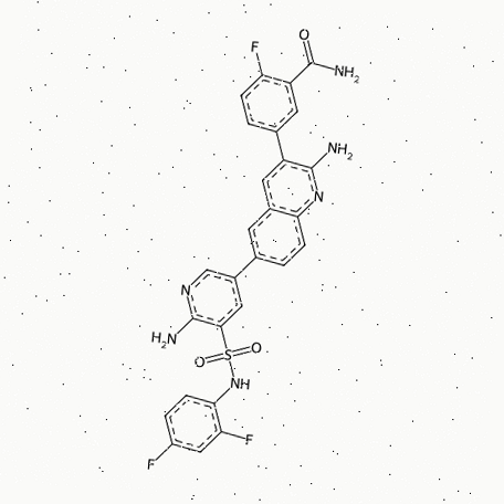 NC(=O)c1cc(-c2cc3cc(-c4cnc(N)c(S(=O)(=O)Nc5ccc(F)cc5F)c4)ccc3nc2N)ccc1F